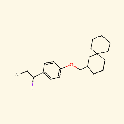 CC(=O)CC(I)c1ccc(OCC2CCCC3(CCCCC3)C2)cc1